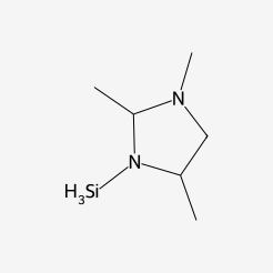 CC1CN(C)C(C)N1[SiH3]